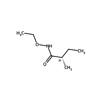 CCONC(=O)[C@@H](C)CC